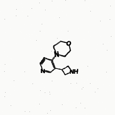 c1cc(N2CCOCC2)c(C2CNC2)cn1